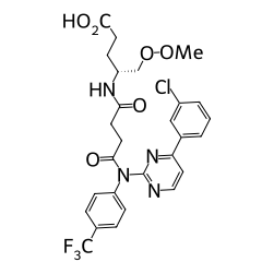 COOC[C@@H](CCC(=O)O)NC(=O)CCC(=O)N(c1ccc(C(F)(F)F)cc1)c1nccc(-c2cccc(Cl)c2)n1